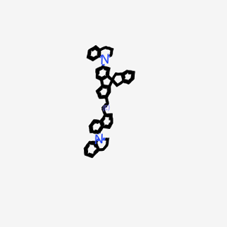 C(=C\c1cccc2c(N3CCCc4ccccc43)cccc12)/c1ccc2c(c1)C1(Cc3ccccc3C1)c1cc(N3CCCc4ccccc43)ccc1-2